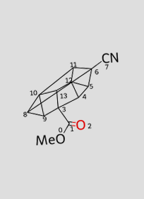 COC(=O)C12C3C4C5(C#N)C6C1C61C5C43C21